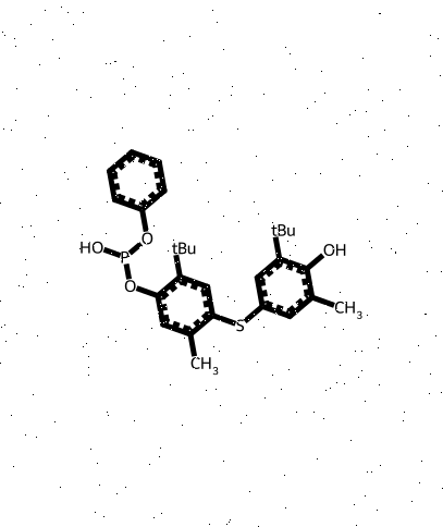 Cc1cc(OP(O)Oc2ccccc2)c(C(C)(C)C)cc1Sc1cc(C)c(O)c(C(C)(C)C)c1